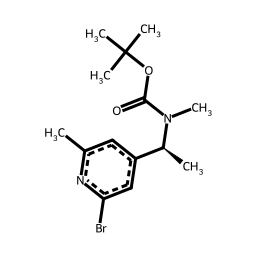 Cc1cc([C@H](C)N(C)C(=O)OC(C)(C)C)cc(Br)n1